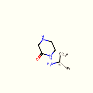 CC(C)[C@H](N)C(=O)O.O=C1CNCCN1